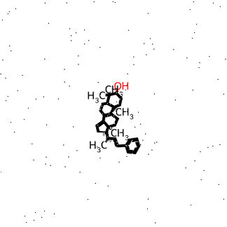 C[C@H](C=Cc1ccccc1)[C@H]1CC=C2C3=C(CC[C@@]21C)[C@@]1(C)CCC(O)C(C)(C)C1CC3